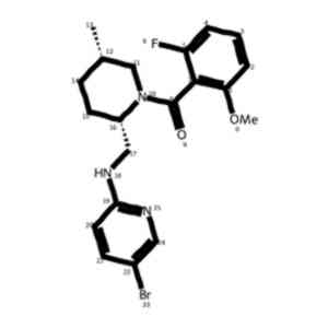 COc1cccc(F)c1C(=O)N1C[C@@H](C)CC[C@H]1CNc1ccc(Br)cn1